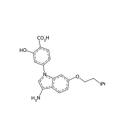 CC(C)CCOc1ccc2c(N)cn(-c3ccc(C(=O)O)c(O)c3)c2c1